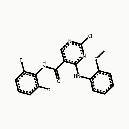 CSc1ccccc1Nc1nc(Cl)ncc1C(=O)Nc1c(F)cccc1Cl